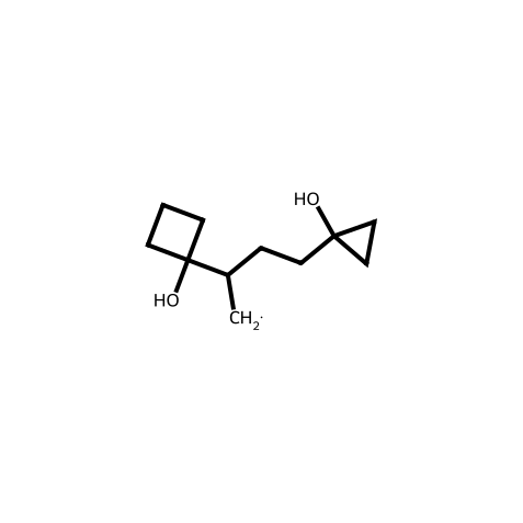 [CH2]C(CCC1(O)CC1)C1(O)CCC1